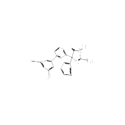 CN1C(=O)C(c2ccccc2)(c2cccc(-c3cc(Cl)cc(Cl)c3)c2)N=C1N